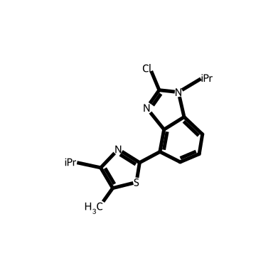 Cc1sc(-c2cccc3c2nc(Cl)n3C(C)C)nc1C(C)C